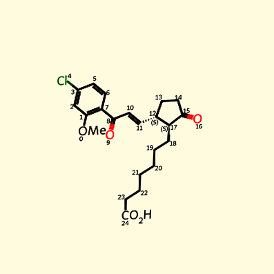 COc1cc(Cl)ccc1C(=O)C=C[C@@H]1CCC(=O)[C@H]1CCCCCCC(=O)O